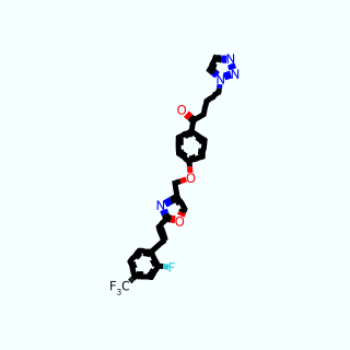 O=C(CCCn1ccnn1)c1ccc(OCc2coc(/C=C/c3ccc(C(F)(F)F)cc3F)n2)cc1